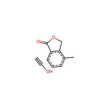 C#CO.Cc1cccc2c1COC2=O